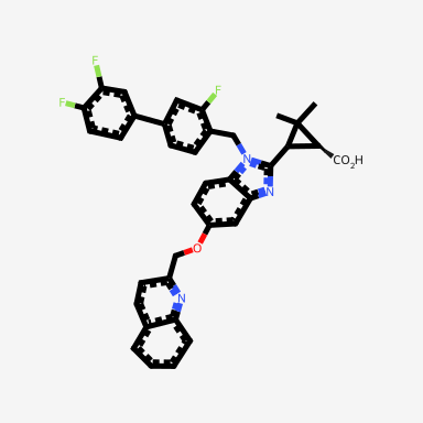 CC1(C)C(c2nc3cc(OCc4ccc5ccccc5n4)ccc3n2Cc2ccc(-c3ccc(F)c(F)c3)cc2F)[C@@H]1C(=O)O